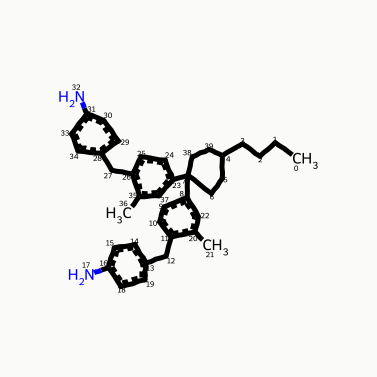 CCCCC1CCC(c2ccc(Cc3ccc(N)cc3)c(C)c2)(c2ccc(Cc3ccc(N)cc3)c(C)c2)CC1